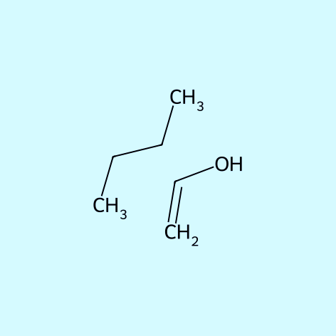 C=CO.CCCC